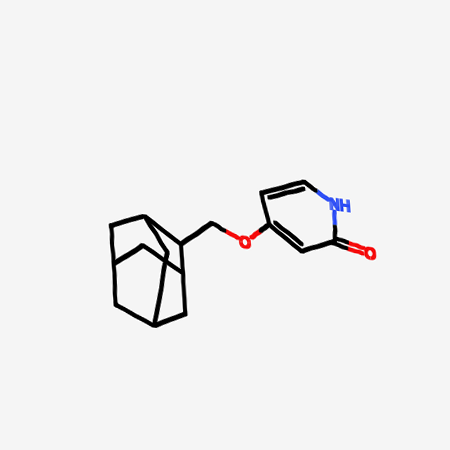 O=c1cc(OCC2C3CC4CC(C3)CC2C4)cc[nH]1